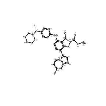 C[C@H](c1ccc(Nc2ccc(-c3cnc4cc(F)ccn34)c3c2C(=O)N(C(=O)OC(C)(C)C)C3)nc1)N1CCOCC1